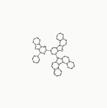 c1ccc(-c2nc(-c3cc(-n4c5ccc6ccccc6c5c5c6ccccc6ccc54)c4oc5ccc6ccccc6c5c4c3)nc3c2sc2ccccc23)cc1